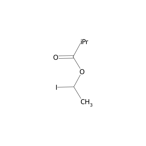 CC(I)OC(=O)C(C)C